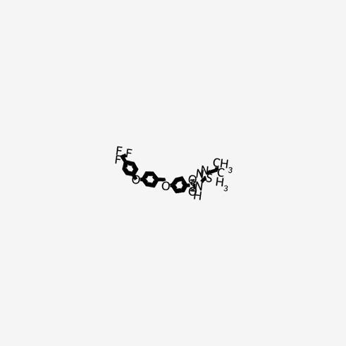 CC(C)c1nnc(NS(=O)(=O)c2ccc(OCc3ccc(Oc4ccc(C(F)(F)F)cc4)cc3)cc2)s1